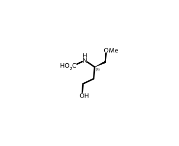 COC[C@@H](CCO)NC(=O)O